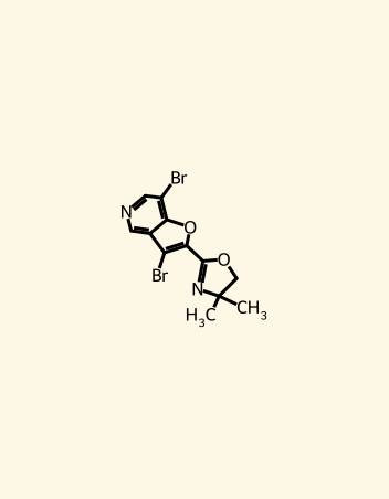 CC1(C)COC(c2oc3c(Br)cncc3c2Br)=N1